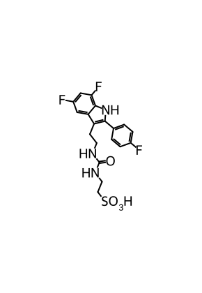 O=C(NCCc1c(-c2ccc(F)cc2)[nH]c2c(F)cc(F)cc12)NCCS(=O)(=O)O